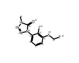 Cn1nnn(-c2cccc(SCF)c2I)c1=O